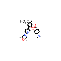 Cc1c(C(=O)O)cc(-c2ccc(N3C[C@@H](C)O[C@@H](C)C3)nc2)c2c1OC(C)([C@H]1CC[C@H](N(C)C)CC1)O2